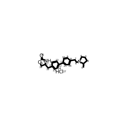 CC1CCCN1CCc1ccc(-c2ccc(CC3COC(=O)N3)cc2)cc1.Cl